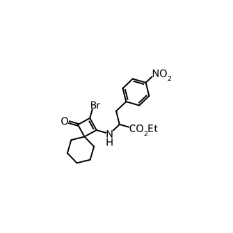 CCOC(=O)C(Cc1ccc([N+](=O)[O-])cc1)NC1=C(Br)C(=O)C12CCCCC2